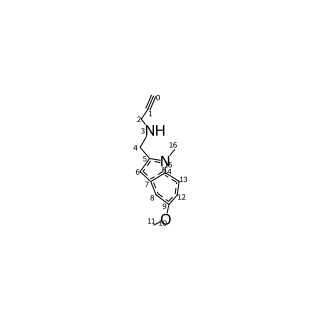 C#CCNCc1cc2cc(OC)ccc2n1C